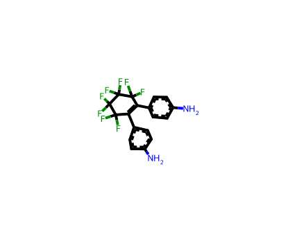 Nc1ccc(C2=C(c3ccc(N)cc3)C(F)(F)C(F)(F)C(F)(F)C2(F)F)cc1